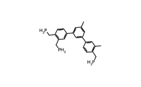 Cc1cc(-c2ccc(CP)c(C)c2)cc(-c2ccc(CP)c(CP)c2)c1